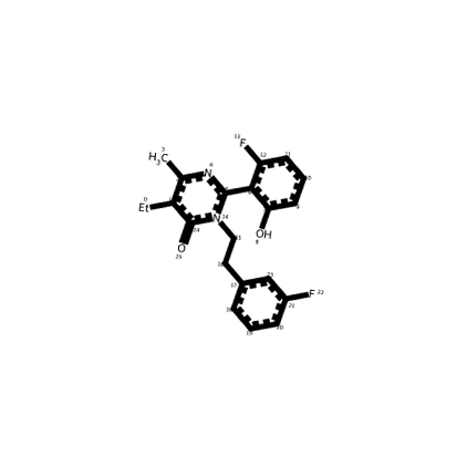 CCc1c(C)nc(-c2c(O)cccc2F)n(CCc2cccc(F)c2)c1=O